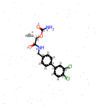 CCCC[C@H](OC(N)=O)C(=O)NCc1ccc(-c2ccc(Cl)c(Cl)c2)cc1